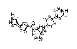 O=C(Nc1cn(C2CCC(N3CCNCC3)CC2)nc1C(F)F)c1csc(-c2cn[nH]c2)n1